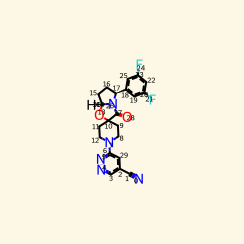 N#Cc1cnnc(N2CCC3(CC2)O[C@@H]2CC[C@@H](c4cc(F)cc(F)c4)N2C3=O)c1